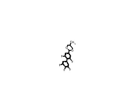 CC1COC(c2cc(F)c(-c3cc(F)c(F)c(F)c3)c(F)c2)OC1